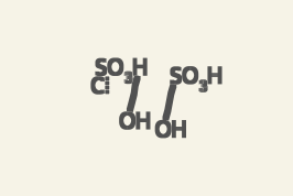 O=S(=O)(O)O.O=S(=O)(O)O.[C]